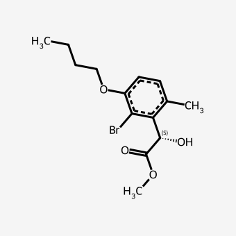 CCCCOc1ccc(C)c([C@H](O)C(=O)OC)c1Br